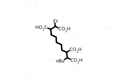 CCCCC(C(=O)O)C(CCCCCC(C(=O)O)C(CC)C(=O)O)C(=O)O